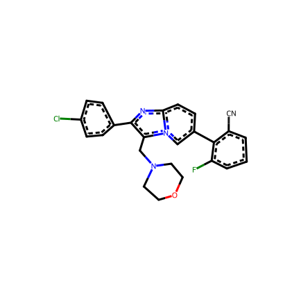 N#Cc1cccc(F)c1-c1ccc2nc(-c3ccc(Cl)cc3)c(CN3CCOCC3)n2c1